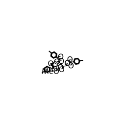 COC1O[C@H](COS(=O)(=O)c2ccc(C)cc2)[C@H](OS(=O)(=O)c2ccc(C)cc2)[C@H]1OS(=O)(=O)c1ccc(C)cc1